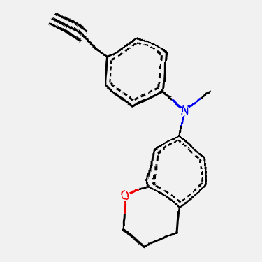 C#Cc1ccc(N(C)c2ccc3c(c2)OCCC3)cc1